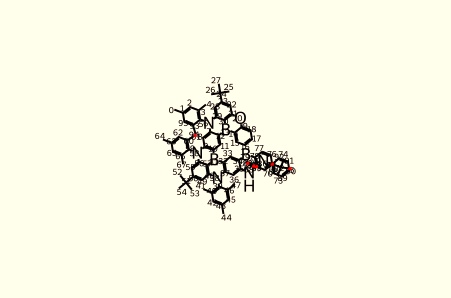 Cc1cc(C)c(N2c3cc4c(cc3B3c5ccccc5Oc5cc(C(C)(C)C)cc2c53)B2c3cc5c(cc3N(c3c(C)cc(C)cc3C)c3cc(C(C)(C)C)cc(c32)N4c2c(C)cc(C)cc2C)Nc2cc(C(C)(C)C)cc3c2B5c2ccccc2N3c2ccccc2)c(C)c1